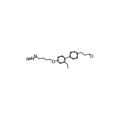 CCc1cc(OCCCCN=[N+]=[N-])ccc1-c1ccc(CCC=O)cc1